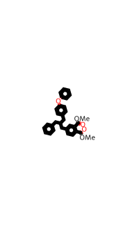 COC(=O)c1ccc(CC(Cc2ccccc2)Cc2ccc(Oc3ccccc3)cc2)cc1C(=O)OC